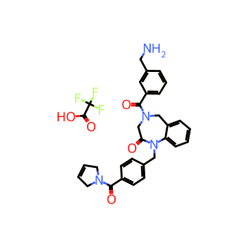 NCc1cccc(C(=O)N2CC(=O)N(Cc3ccc(C(=O)N4CC=CC4)cc3)c3ccccc3C2)c1.O=C(O)C(F)(F)F